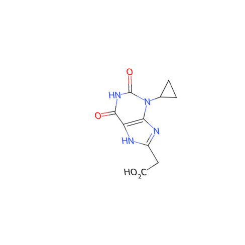 O=C(O)Cc1nc2c([nH]1)c(=O)[nH]c(=O)n2C1CC1